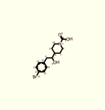 O=C(O)N1CCC(C(O)Cc2ccc(Br)cc2)CC1